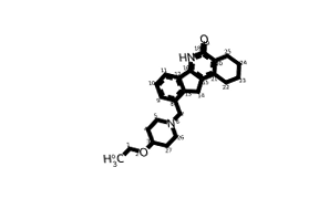 CCOC1CCN(Cc2cccc3c2Cc2c-3[nH]c(=O)c3c2CCCC3)CC1